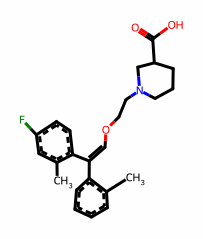 Cc1ccccc1C(=COCCN1CCCC(C(=O)O)C1)c1ccc(F)cc1C